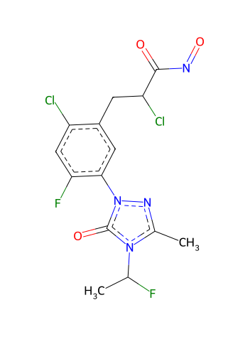 Cc1nn(-c2cc(CC(Cl)C(=O)N=O)c(Cl)cc2F)c(=O)n1C(C)F